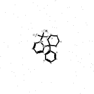 CC(C)(C)N1C=CC=CN1C1(c2ccccc2)CCCCC1